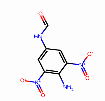 Nc1c([N+](=O)[O-])cc(NC=O)cc1[N+](=O)[O-]